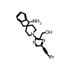 CC(C)C#Cc1cnc(N2CCC3(CC2)Cc2ccccc2[C@H]3N)c(CO)n1